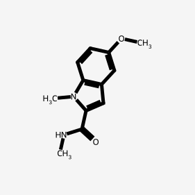 CNC(=O)c1cc2cc(OC)ccc2n1C